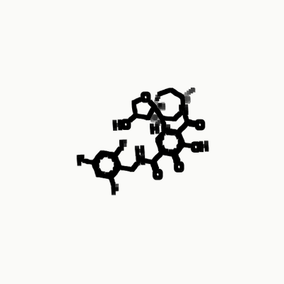 C[C@H]1CC[C@@]2(CC(O)CO2)[C@H]2CN1C(=O)c1c(O)c(=O)c(C(=O)NCc3c(F)cc(F)cc3F)cn12